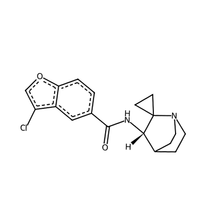 O=C(N[C@H]1C2CCN(CC2)C12CC2)c1ccc2occ(Cl)c2c1